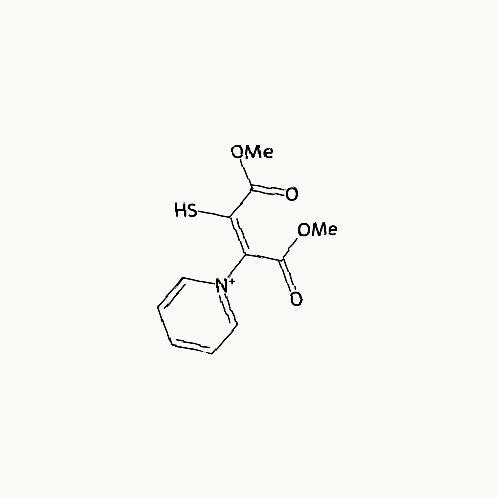 COC(=O)/C(S)=C(\C(=O)OC)[n+]1ccccc1